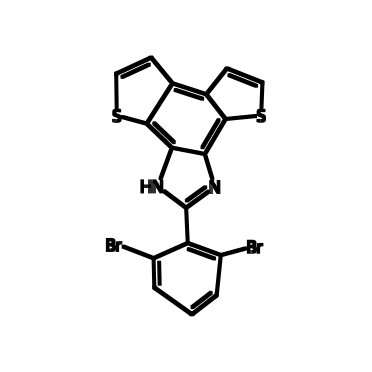 Brc1cccc(Br)c1-c1nc2c([nH]1)c1sccc1c1ccsc12